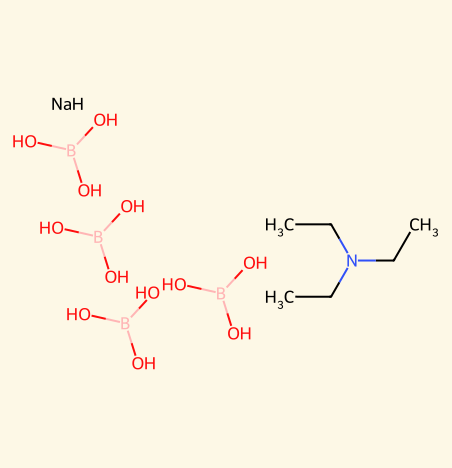 CCN(CC)CC.OB(O)O.OB(O)O.OB(O)O.OB(O)O.[NaH]